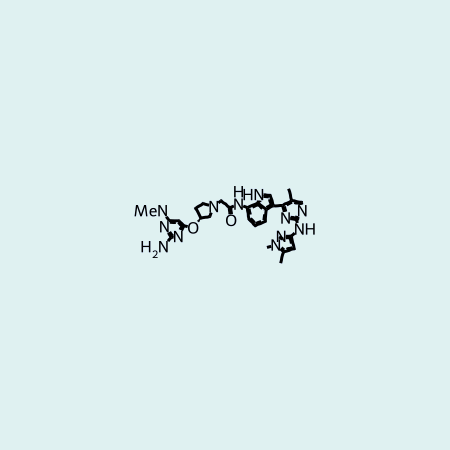 CNc1cc(O[C@H]2CCN(CC(=O)Nc3cccc4c(-c5nc(Nc6cc(C)n(C)n6)ncc5C)c[nH]c34)C2)nc(N)n1